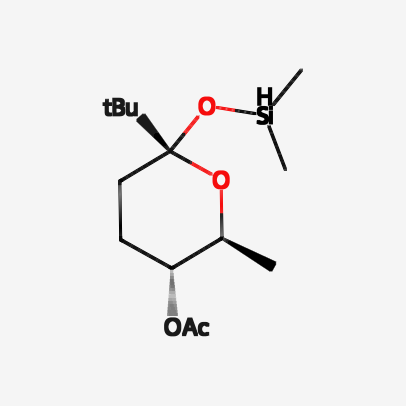 CC(=O)O[C@@H]1CC[C@@](O[SiH](C)C)(C(C)(C)C)O[C@H]1C